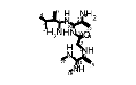 C=C(C(C)C)C(N)NC(NC(=O)CNC(=C)C(NC)NC)C(=C)N